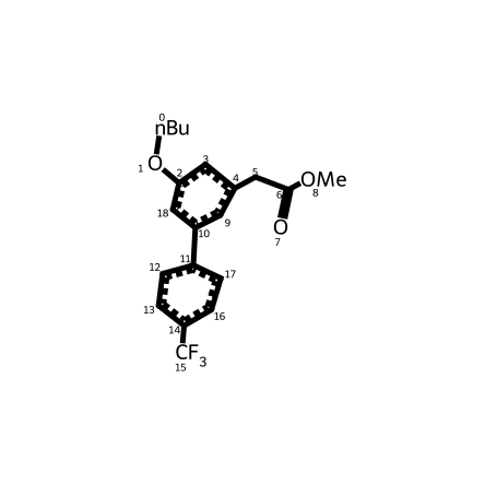 CCCCOc1cc(CC(=O)OC)cc(-c2ccc(C(F)(F)F)cc2)c1